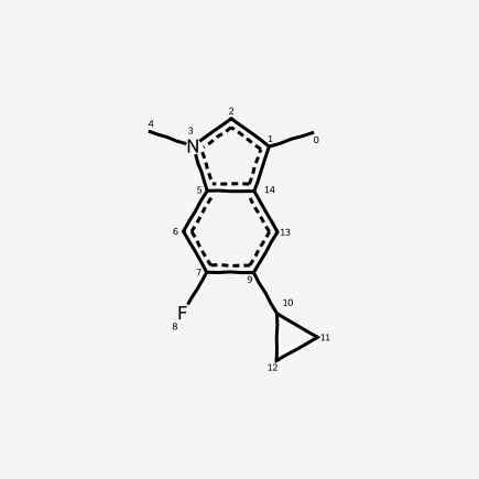 Cc1cn(C)c2cc(F)c(C3CC3)cc12